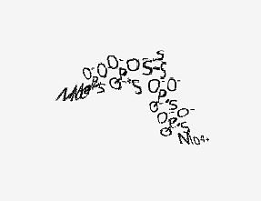 [Mo+4].[Mo+4].[Mo+4].[O-]P([O-])([O-])=S.[O-]P([O-])([O-])=S.[O-]P([O-])([O-])=S.[O-]P([O-])([O-])=S.s1ss1